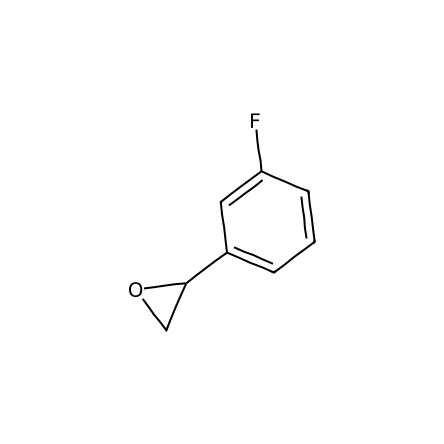 Fc1cccc(C2CO2)c1